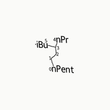 CCCCCCCC(CCC)[C](C)CC